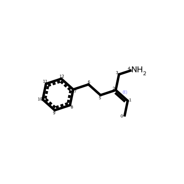 C/C=C(/CN)CCc1ccccc1